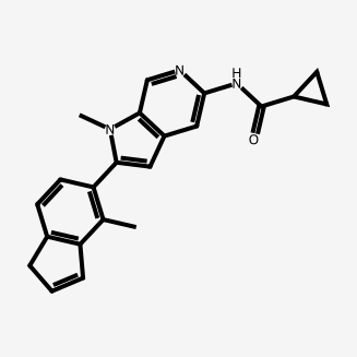 Cc1c(-c2cc3cc(NC(=O)C4CC4)ncc3n2C)ccc2c1C=CC2